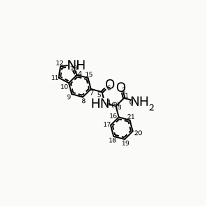 NC(=O)[C@H](NC(=O)c1ccc2cc[nH]c2c1)c1ccccc1